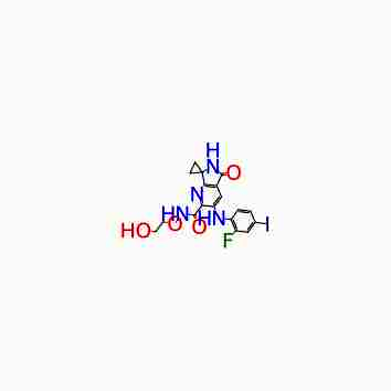 O=C1NC2(CC2)c2nc(C(=O)NOCCO)c(Nc3ccc(I)cc3F)cc21